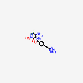 NC(C(F)F)[C@H](NC(=O)c1ccc(C#Cc2nn[nH]n2)cc1)C(=O)NO